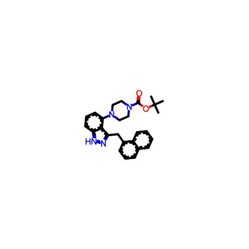 CC(C)(C)OC(=O)N1CCN(c2cccc3[nH]nc(Cc4cccc5ccccc45)c23)CC1